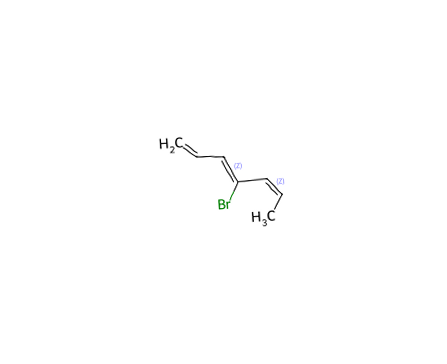 C=C/C=C(Br)/C=C\C